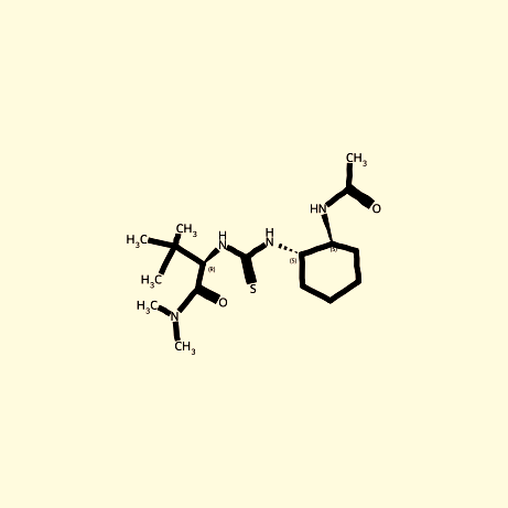 CC(=O)N[C@H]1CCCC[C@@H]1NC(=S)N[C@@H](C(=O)N(C)C)C(C)(C)C